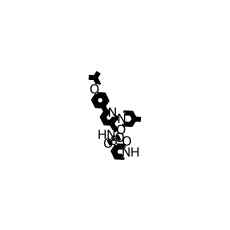 CC(C)COc1ccc(-c2ccc(C(=O)NS(=O)(=O)c3ccc[nH]c3=O)c(N3CCC(C)CC3)n2)cc1